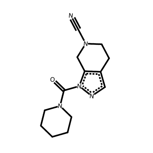 N#CN1CCc2cnn(C(=O)N3CCCCC3)c2C1